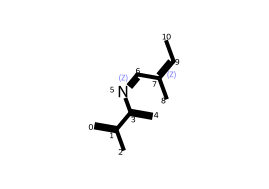 C=C(C)C(=C)/N=C\C(C)=C/C